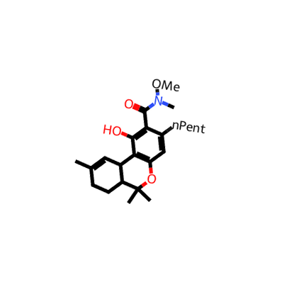 CCCCCc1cc2c(c(O)c1C(=O)N(C)OC)C1C=C(C)CCC1C(C)(C)O2